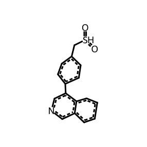 O=[SH](=O)Cc1ccc(-c2cncc3ccccc23)cc1